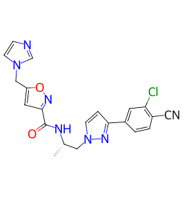 C[C@@H](Cn1ccc(-c2ccc(C#N)c(Cl)c2)n1)NC(=O)c1cc(Cn2ccnc2)on1